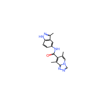 Cc1cn2cnnc2c(C)c1C(=O)Nc1ccc2[nH]nc(C)c2c1